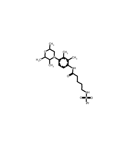 Cc1c(NC(=O)CCCCNS(=O)(=O)C(C)C)ccc(N2CC(C)OC(C)C2C)c1C